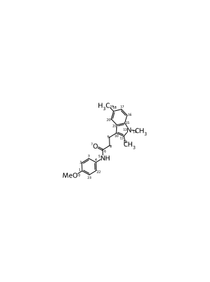 COc1ccc(NC(=O)CCc2c(C)n(C)c3ccc(C)cc23)cc1